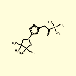 CC1(C)OB(c2cnn(CC(=O)[N+](C)(C)C)c2)OC1(C)C